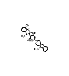 C=C(c1cccc(C#N)c1Cl)c1n[nH]c2nc(N3CCC4(CC3)Cc3ccccc3[C@H]4N)[nH]c(=O)c12